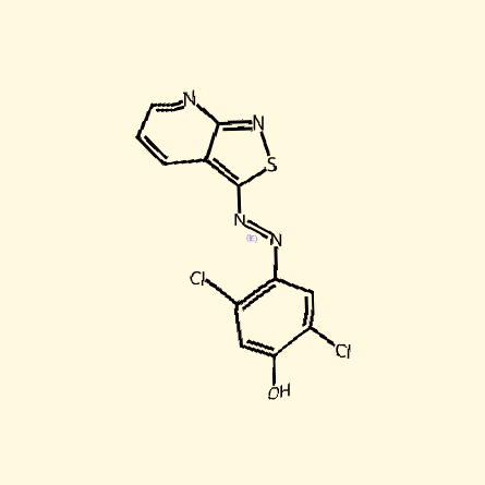 Oc1cc(Cl)c(/N=N/c2snc3ncccc23)cc1Cl